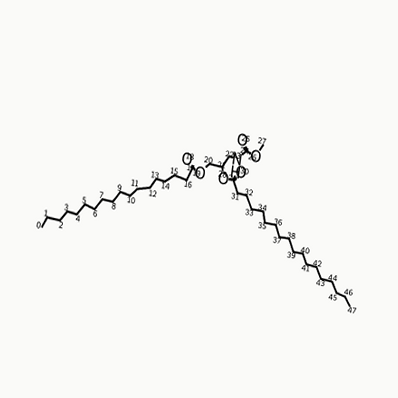 CCCCCCCCCCCCCCCCCC(=O)OCC(CNC(=O)OC)OC(=O)CCCCCCCCCCCCCCCCC